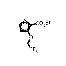 CCOC(=O)c1sccc1OCC(F)(F)F